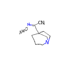 CO/N=C(/C#N)C12CCCN(CC1)C2